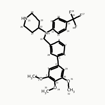 COc1cc(-c2cccc(CN(c3ccc(C(F)(F)F)cc3)C3CCNCC3)c2)cc(OC)c1OC